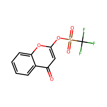 O=c1cc(OS(=O)(=O)C(F)(F)F)oc2ccccc12